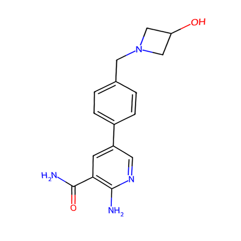 NC(=O)c1cc(-c2ccc(CN3CC(O)C3)cc2)cnc1N